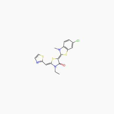 CCn1c(=O)/c(=C2\Sc3cc(Cl)ccc3N2C)s/c1=C\c1nccs1